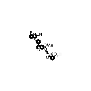 COc1cc2c(-c3cccc(Nc4cc(C#N)nc5c(F)cccc45)c3)ccnc2cc1OCCCNC(=O)c1ccccc1C(=O)O